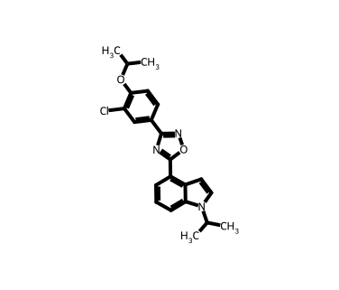 CC(C)Oc1ccc(-c2noc(-c3cccc4c3ccn4C(C)C)n2)cc1Cl